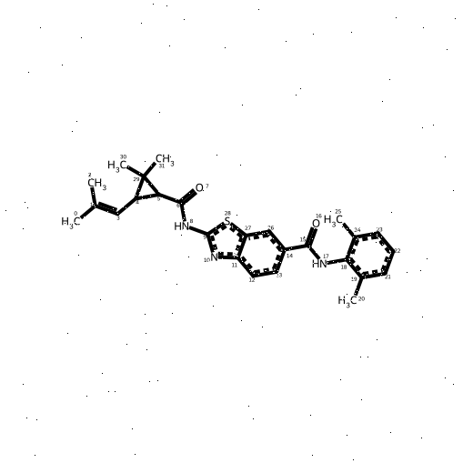 CC(C)=CC1C(C(=O)Nc2nc3ccc(C(=O)Nc4c(C)cccc4C)cc3s2)C1(C)C